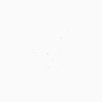 C[C@@H]1CN(c2cc(F)c(C3=CCN(Cc4ccsc4)CC3)cc2NC(=O)c2c[nH]c(=O)cc2C(F)(F)F)C[C@H](C)N1C